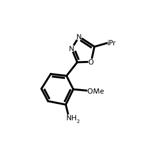 COc1c(N)cccc1-c1nnc(C(C)C)o1